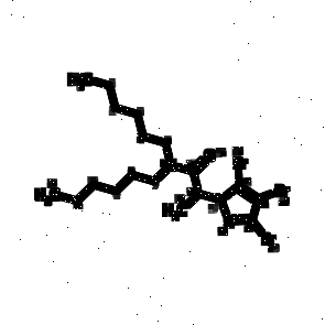 CCCCCCN(CCCCCC)C(=O)C(C)n1nc(Br)c(Br)c1Br